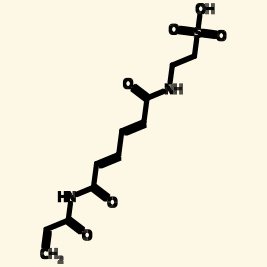 C=CC(=O)NC(=O)C=CC=CC(=O)NCCS(=O)(=O)O